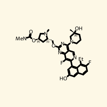 CCc1c(F)ccc2cc(O)cc(-c3ncc4c(N5CCC[C@@](C)(O)C5)nc(OC[C@@H]5C[C@@H](OC(=O)NC)CN5C)nc4c3F)c12